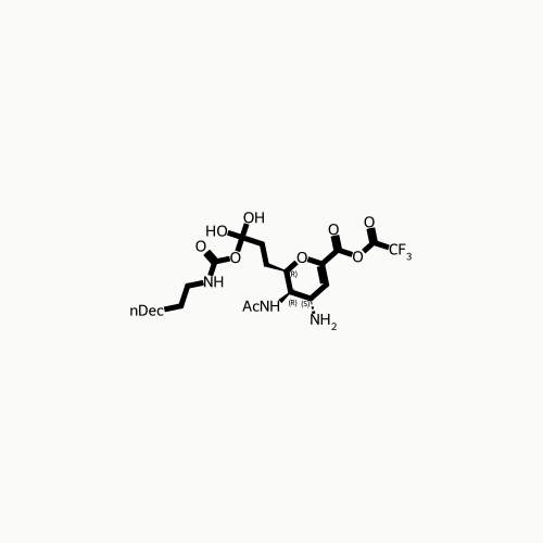 CCCCCCCCCCCCNC(=O)OC(O)(O)CC[C@H]1OC(C(=O)OC(=O)C(F)(F)F)=C[C@H](N)[C@H]1NC(C)=O